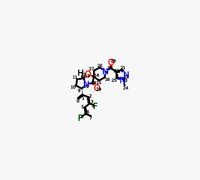 C=C(/C=C(F)\C=C(/C)F)[C@@H]1CC[C@H]2OC3(CCN(C(=O)c4cnn(C)c4)CC3)C(=O)N21